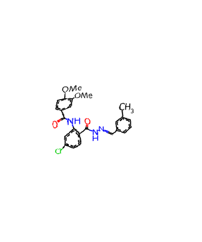 COc1ccc(C(=O)Nc2cc(Cl)ccc2C(=O)NN=Cc2cccc(C)c2)cc1OC